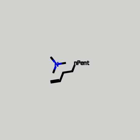 C=CCCCCCCC.CN(C)C